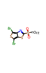 CCCCCCCCS(=O)(=O)c1nc2c(Br)sc(Br)c2s1